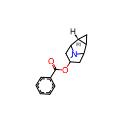 CN1C2CC(OC(=O)c3ccccc3)CC1[C@@H]1CC21